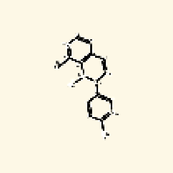 N#Cc1ccc(N2N=Cc3ccnc(Cl)c3B2O)cn1